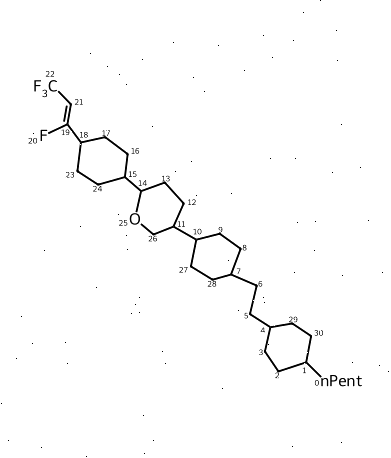 CCCCCC1CCC(CCC2CCC(C3CCC(C4CCC(/C(F)=C/C(F)(F)F)CC4)OC3)CC2)CC1